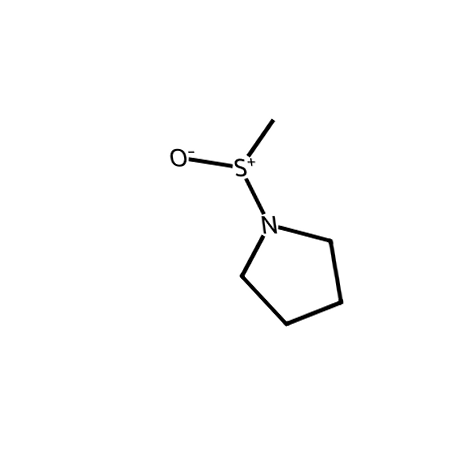 C[S+]([O-])N1CCCC1